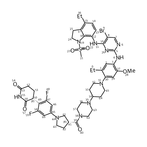 CCc1cc(Nc2ncc(Br)c(Nc3ccc(CC)c4c3N(S(C)(=O)=O)CC4)n2)c(OC)cc1N1CCC(N2CCN(C(=O)[C@@H]3CCN(c4cc(F)c([C@H]5CCC(=O)NC5=O)c(F)c4)C3)CC2)CC1